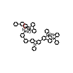 O=P1(c2nc(-c3cccc(-c4ccccc4)c3)nc(-c3cccc(-c4cccc(-c5ccc6c7cc(-c8ccc9c(c8)-c8ccccc8P(=O)(c8nc(-c%10ccccc%10)c%10ccccc%10n8)N9c8ccccc8)ccc7n(-c7ccccc7)c6c5)c4)c3)n2)c2ccccc2-c2ccccc2N1c1ccccc1